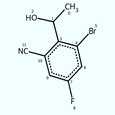 CC(O)c1c(Br)cc(F)cc1C#N